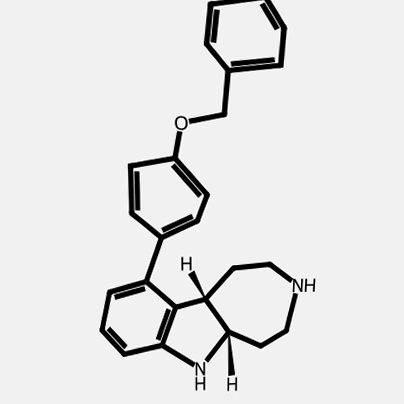 c1ccc(COc2ccc(-c3cccc4c3[C@@H]3CCNCC[C@@H]3N4)cc2)cc1